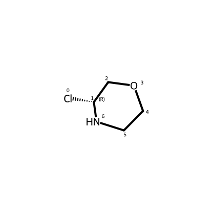 Cl[C@@H]1COCCN1